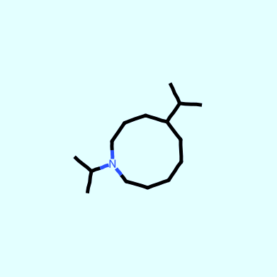 CC(C)C1CCCCCN(C(C)C)CCC1